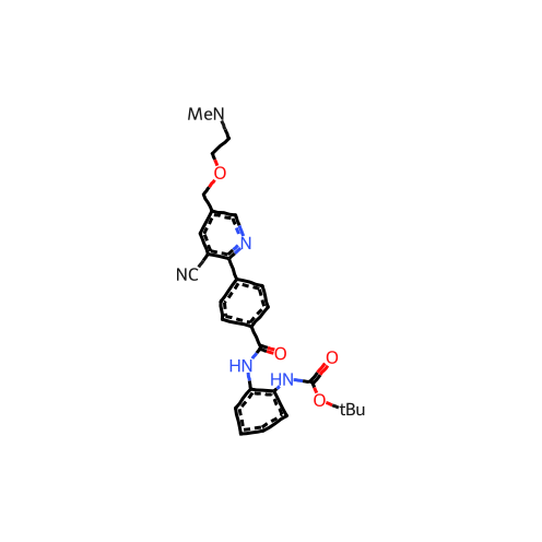 CNCCOCc1cnc(-c2ccc(C(=O)Nc3ccccc3NC(=O)OC(C)(C)C)cc2)c(C#N)c1